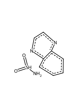 N[SH](=O)=O.c1ccc2nccnc2c1